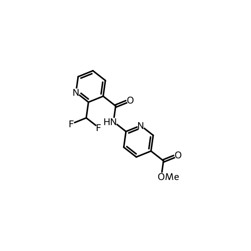 COC(=O)c1ccc(NC(=O)c2cccnc2C(F)F)nc1